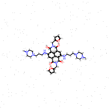 CN1CCN(CCCNc2cc3c4c(c(NCCCN5CCN(C)CC5)cc5c4c2C(=O)N(Cc2ccco2)C5=O)C(=O)N(Cc2ccco2)C3=O)CC1